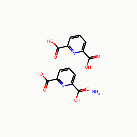 N.O=C(O)c1cccc(C(=O)O)n1.O=C(O)c1cccc(C(=O)O)n1